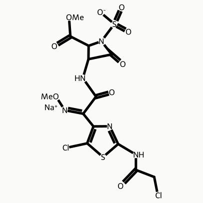 CON=C(C(=O)NC1C(=O)N(S(=O)(=O)[O-])C1C(=O)OC)c1nc(NC(=O)CCl)sc1Cl.[Na+]